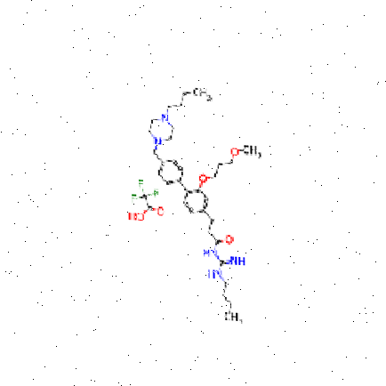 CCCCNC(=N)NC(=O)CCc1ccc(-c2ccc(CN3CCN(CCCC)CC3)cc2)c(OCCCOC)c1.O=C(O)C(F)(F)F